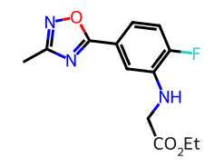 CCOC(=O)CNc1cc(-c2nc(C)no2)ccc1F